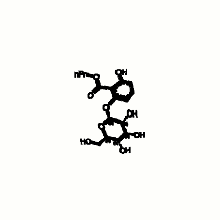 CCCOC(=O)c1c(O)cccc1O[C@@H]1O[C@H](CO)[C@@H](O)[C@H](O)[C@H]1O